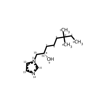 CCC(C)(C)CCC[C@H](O)Cn1ccnc1